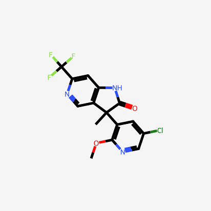 COc1ncc(Cl)cc1C1(C)C(=O)Nc2cc(C(F)(F)F)ncc21